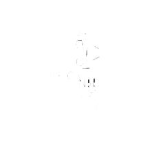 CCOc1cccc2cc(C(C)NCC3CCCCCCC3O)oc12